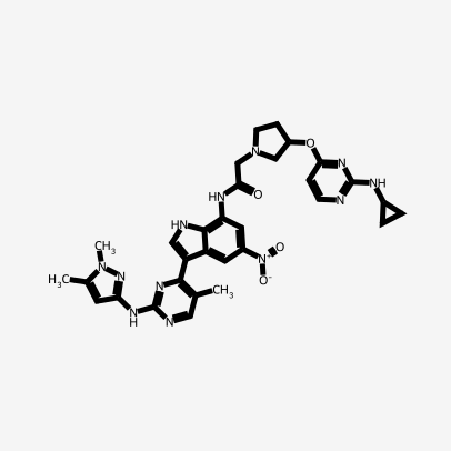 Cc1cnc(Nc2cc(C)n(C)n2)nc1-c1c[nH]c2c(NC(=O)CN3CCC(Oc4ccnc(NC5CC5)n4)C3)cc([N+](=O)[O-])cc12